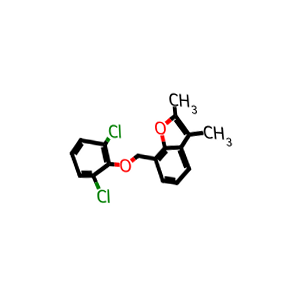 Cc1oc2c(COc3c(Cl)cccc3Cl)cccc2c1C